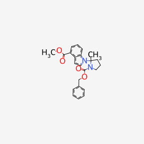 COC(=O)c1cccc2c1ccn2C1(C)CCCN1C(=O)OCc1ccccc1